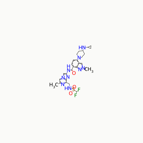 Cc1cn2cc(NC(=O)c3ccc(N4CCC(NC5CC5)CC4)c4cn(C)nc34)nc2c(CNS(=O)(=O)C(F)F)n1